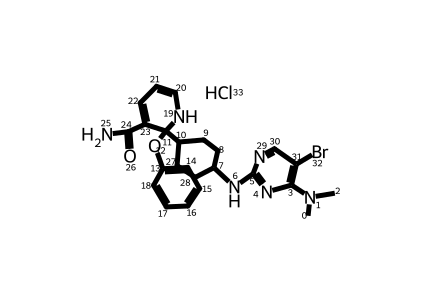 CN(C)c1nc(NC2CCC(C3(Oc4ccccc4)NC=CC=C3C(N)=O)CC2)ncc1Br.Cl